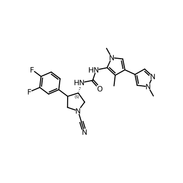 Cc1c(-c2cnn(C)c2)cn(C)c1NC(=O)N[C@@H]1CN(C#N)CC1c1ccc(F)c(F)c1